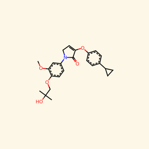 COc1cc(N2CC=C(Oc3ccc(C4CC4)cc3)C2=O)ccc1OCC(C)(C)O